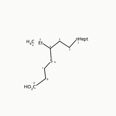 C.CCCCCCCCCC(CC)SCCC(=O)O